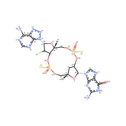 Nc1nc2c(ncn2[C@@H]2O[C@@H]3COP(=O)(S)OC4C(F)[C@H](n5nnc6c(N)ncnc65)O[C@@H]4COP(=O)(S)OC2C3)c(=O)[nH]1